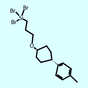 Cc1ccc([C@H]2CC[C@H](OCCC[Si](Br)(Br)Br)CC2)cc1